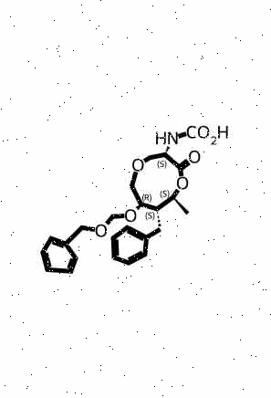 C[C@@H]1OC(=O)[C@@H](NC(=O)O)COC[C@H](OCOCc2ccccc2)[C@H]1Cc1ccccc1